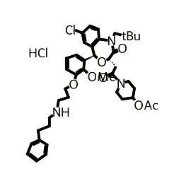 COc1c(OCCCNCCCc2ccccc2)cccc1[C@@H]1O[C@@H](CC(=O)N2CCC(OC(C)=O)CC2)C(=O)N(CC(C)(C)C)c2ccc(Cl)cc21.Cl